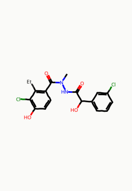 CCc1c(C(=O)N(C)NC(=O)C(O)c2cccc(Cl)c2)ccc(O)c1Cl